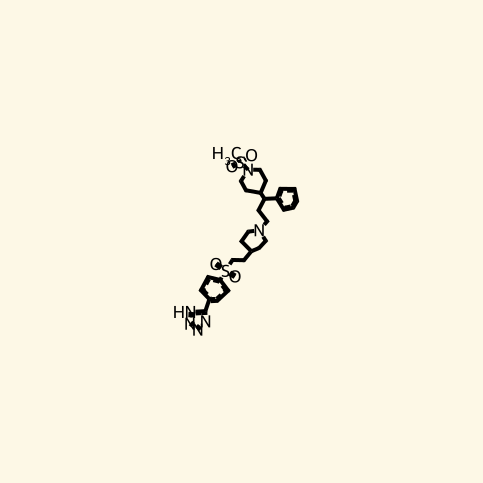 CS(=O)(=O)N1CCC(C(CCN2CCC(CCS(=O)(=O)c3ccc(-c4nnn[nH]4)cc3)CC2)c2ccccc2)CC1